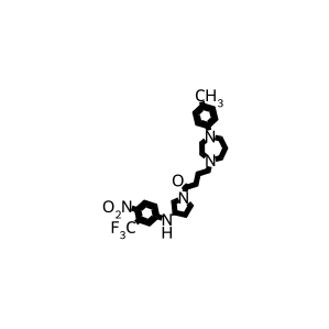 Cc1ccc(N2CCCN(CCCC(=O)N3CC[C@H](Nc4ccc([N+](=O)[O-])c(C(F)(F)F)c4)C3)CC2)cc1